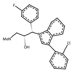 CNC[C@@H](O)[C@H](c1cccc(F)c1)n1cc(-c2ccccc2Cl)c2ccccc21